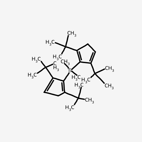 CC(C)(C)C1=CCC(C(C)(C)C)=[C]1[Ti]([CH3])([CH3])[C]1=C(C(C)(C)C)CC=C1C(C)(C)C